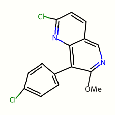 COc1ncc2ccc(Cl)nc2c1-c1ccc(Cl)cc1